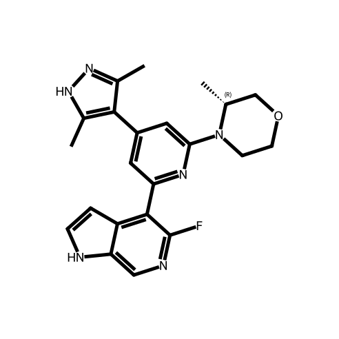 Cc1n[nH]c(C)c1-c1cc(-c2c(F)ncc3[nH]ccc23)nc(N2CCOC[C@H]2C)c1